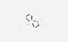 COc1ccccc1C1(C)C=CC=C(C)C1N